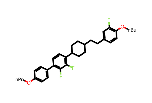 CCCCOc1ccc(CCC2CCC(c3ccc(-c4ccc(OCCC)cc4)c(F)c3F)CC2)cc1F